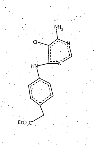 CCOC(=O)Cc1ccc(Nc2ncnc(N)c2Cl)cc1